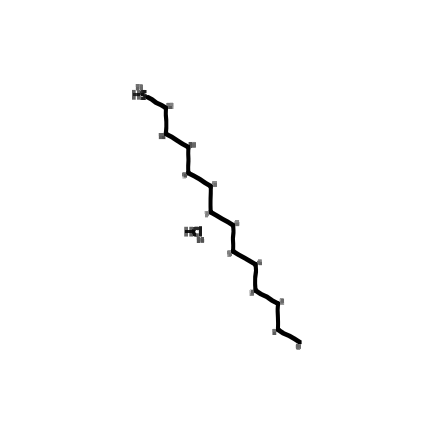 CCCCCCCCCCCCCS.Cl